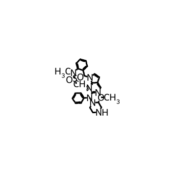 COC1CNCCN1N(c1ccccc1)c1ncc2ccn(Cc3ccccc3N(C)S(C)(=O)=O)c2n1